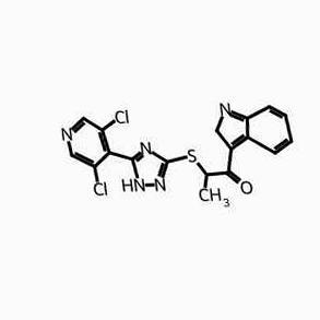 CC(Sc1n[nH]c(-c2c(Cl)cncc2Cl)n1)C(=O)C1=c2ccccc2=NC1